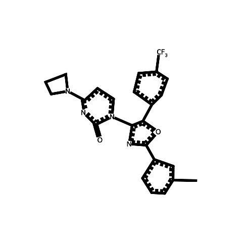 Cc1cccc(-c2nc(-n3ccc(N4CCC4)nc3=O)c(-c3ccc(C(F)(F)F)cc3)o2)c1